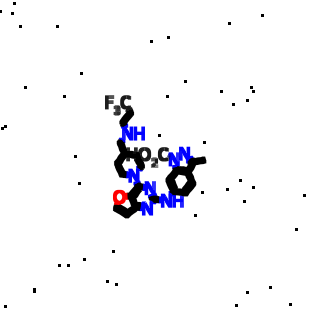 Cc1nn(C(=O)O)c2cc(Nc3nc(N4CCC(CNCCC(F)(F)F)CC4)c4occc4n3)ccc12